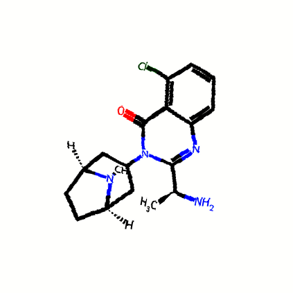 C[C@H](N)c1nc2cccc(Cl)c2c(=O)n1C1C[C@H]2CC[C@@H](C1)N2C